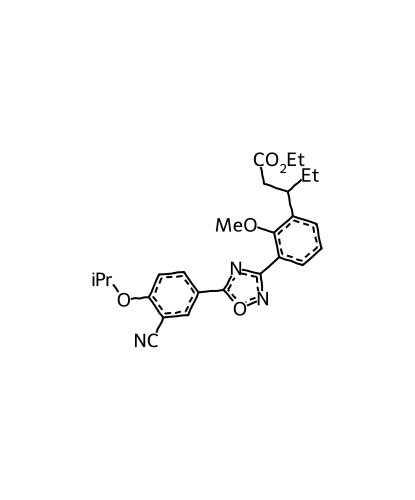 CCOC(=O)CC(CC)c1cccc(-c2noc(-c3ccc(OC(C)C)c(C#N)c3)n2)c1OC